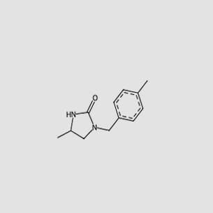 Cc1ccc(CN2CC(C)NC2=O)cc1